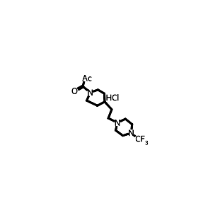 CC(=O)C(=O)N1CCC(CCN2CCN(C(F)(F)F)CC2)CC1.Cl